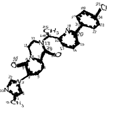 Cc1cn(-c2ccc3n(c2=O)CCN([C@@H](C)c2cccc(-c4ccc(Cl)cc4)n2)C3=O)cn1